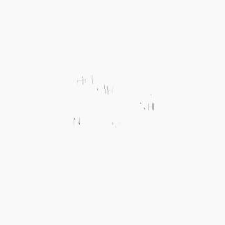 Cl.Cl.c1cnc2cc(C34CCC(CC3)N4)oc2c1